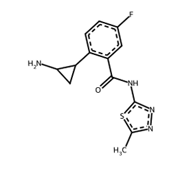 Cc1nnc(NC(=O)c2cc(F)ccc2C2CC2N)s1